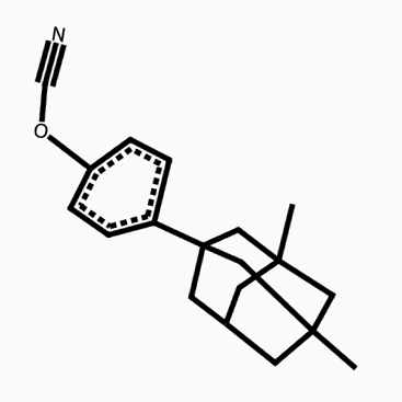 CC12CC3CC(C)(C1)CC(c1ccc(OC#N)cc1)(C3)C2